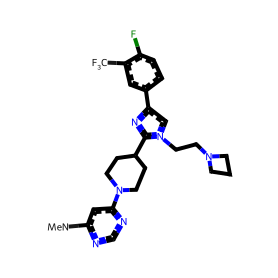 CNc1cc(N2CCC(c3nc(-c4ccc(F)c(C(F)(F)F)c4)cn3CCN3CCC3)CC2)ncn1